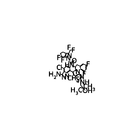 Cn1nc(N)c2c(Cl)ccc(-c3cc4sc(NCC(C)(C)O)nc4nc3C(Cc3cc(F)cc(F)c3)NC(=O)Cn3nc(C(F)F)c4c3C(F)(F)CC4)c21